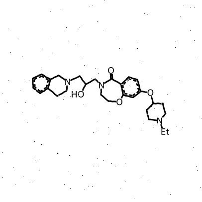 CCN1CCC(Oc2ccc3c(c2)OCCN(CC(O)CN2CCc4ccccc4C2)C3=O)CC1